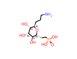 NCCC[C@H]1O[C@H](CCP(=O)(O)O)[C@@H](O)[C@H](O)[C@@H]1O